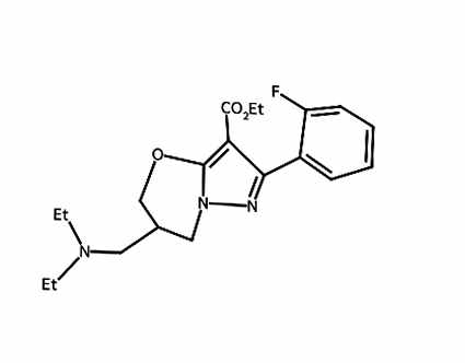 CCOC(=O)c1c(-c2ccccc2F)nn2c1OCC(CN(CC)CC)C2